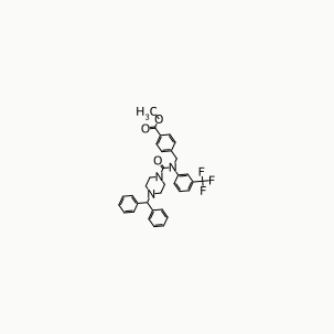 COC(=O)c1ccc(CN(C(=O)N2CCN(C(c3ccccc3)c3ccccc3)CC2)c2cccc(C(F)(F)F)c2)cc1